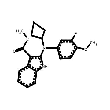 COC(=O)c1c(N(c2ccc(OC)c(F)c2)C2CCC2)[nH]c2ccccc12